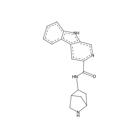 O=C(NC1CC2CC1CN2)c1cc2c(cn1)[nH]c1ccccc12